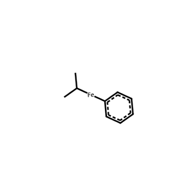 C[CH](C)[Fe][c]1ccccc1